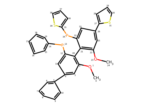 COc1cc(-c2ccccc2)cc([P]c2ccccc2)c1-c1c(OC)cc(-c2cccs2)cc1[P]c1cccs1